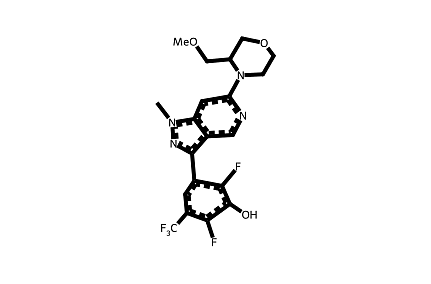 COCC1COCCN1c1cc2c(cn1)c(-c1cc(C(F)(F)F)c(F)c(O)c1F)nn2C